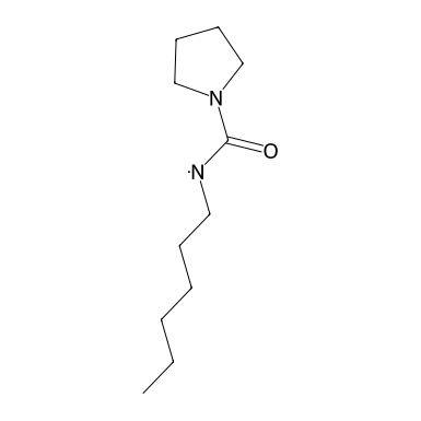 CCCCCC[N]C(=O)N1CCCC1